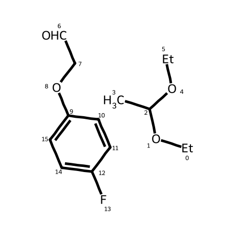 CCOC(C)OCC.O=CCOc1ccc(F)cc1